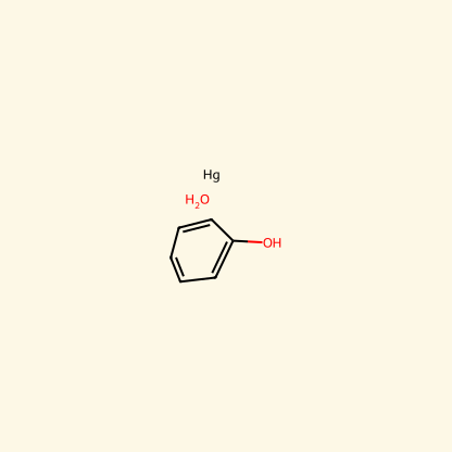 O.Oc1ccccc1.[Hg]